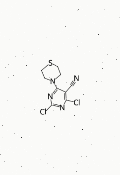 N#Cc1c(Cl)nc(Cl)nc1N1CCSCC1